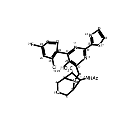 CC(=O)NC1CC2COCC1N2Cc1nc(-c2nccs2)nc(-c2ccc(F)cc2Cl)c1C(=O)O